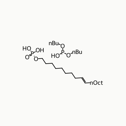 CCCCCCCCC=CCCCCCCCCOP(=O)(O)O.CCCCOP(O)OCCCC